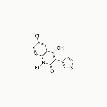 CCn1c(=O)c(-c2ccsc2)c(O)c2cc(Cl)cnc21